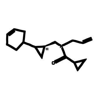 C=CCN(C[C@H]1CC1C1CC=CCC1)C(=O)C1CC1